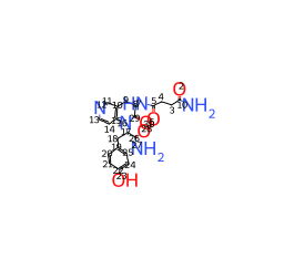 NC(=O)CCC(=O)N[C@@H]1Cc2cnccc2N(C(Cc2ccc(O)cc2)C(N)=O)C1=O